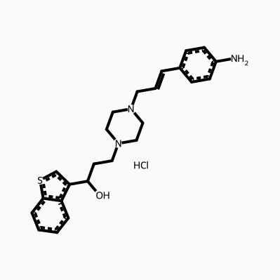 Cl.Nc1ccc(C=CCN2CCN(CCC(O)c3csc4ccccc34)CC2)cc1